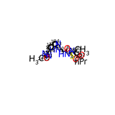 CCCOC1(c2sc(NC(=O)C=CNc3nccc4ccc(-c5noc(C)n5)cc34)nc2C)COC1